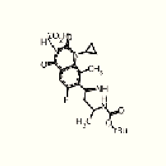 Cc1c(C(=N)CC(C)NC(=O)OC(C)(C)C)c(F)cc2c(=O)n(NC(=O)O)c(=O)n(C3CC3)c12